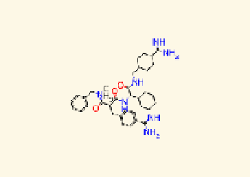 CN(Cc1ccccc1)C(=O)C(Cc1ccc(C(=N)N)cc1)C(=O)N[C@H](C(=O)NCC1CCC(C(=N)N)CC1)C1CCCCC1